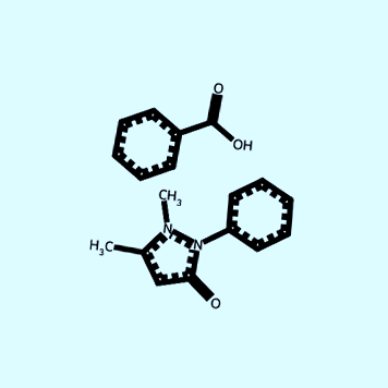 Cc1cc(=O)n(-c2ccccc2)n1C.O=C(O)c1ccccc1